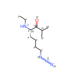 CCN[C@@H](CCCCN=[N+]=[N-])C(=O)C(C)C